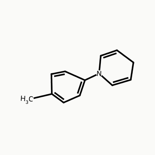 Cc1ccc(N2C=CCC=C2)cc1